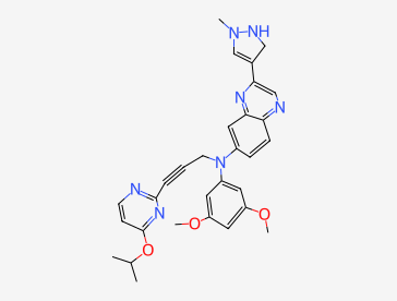 COc1cc(OC)cc(N(CC#Cc2nccc(OC(C)C)n2)c2ccc3ncc(C4=CN(C)NC4)nc3c2)c1